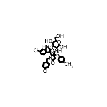 Cc1ccc(SC2(C(=O)NC3C(O)OC(CO)C(O)C3O)CC(=O)N(Cc3ccc(Cl)cc3)C2c2c[nH]c3cc(Cl)ccc23)cc1